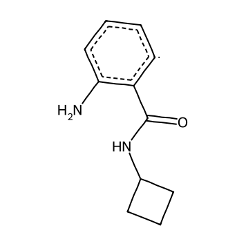 Nc1ccc[c]c1C(=O)NC1CCC1